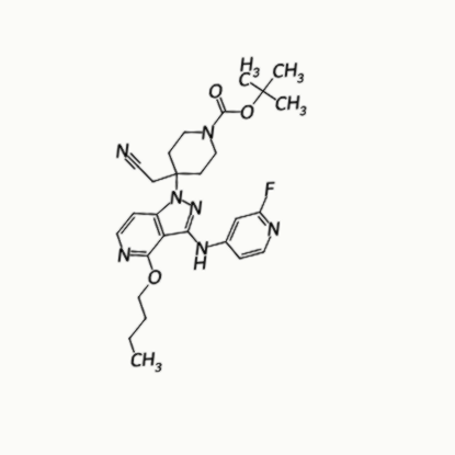 CCCCOc1nccc2c1c(Nc1ccnc(F)c1)nn2C1(CC#N)CCN(C(=O)OC(C)(C)C)CC1